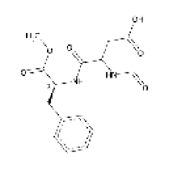 COC(=O)[C@H](Cc1ccccc1)NC(=O)C(CC(=O)O)NC=O